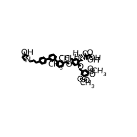 Cc1c(COc2cc(OCc3cc(S(C)(=O)=O)cc(S(C)(=O)=O)c3)c(CN[C@@](C)(CO)C(=O)O)cc2Cl)cccc1-c1cccc(-c2ccc(CCCN3CC[C@@H](O)C3)cc2)c1C